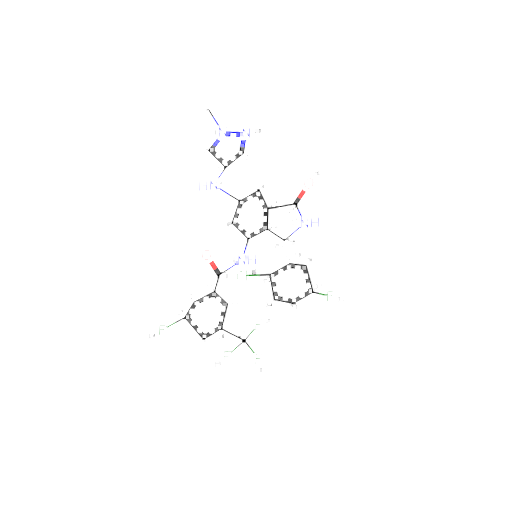 Cn1cc(Nc2cc(NC(=O)c3cc(F)cc(C(F)(F)F)c3)c3c(c2)C(=O)N[C@@H]3c2cc(F)ccc2Cl)cn1